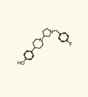 Oc1ccc(C2CCN(C3CCN(Cc4ccc(F)cc4)C3)CC2)cc1